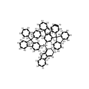 c1ccc(C2(c3cc(N(C4=c5oc6ccccc6c5=CCC4)c4ccc5c(c4)C(c4ccccc4)(c4ccccc4)c4ccccc4-5)cc4c3oc3ccccc34)c3ccccc3-c3ccccc32)cc#1